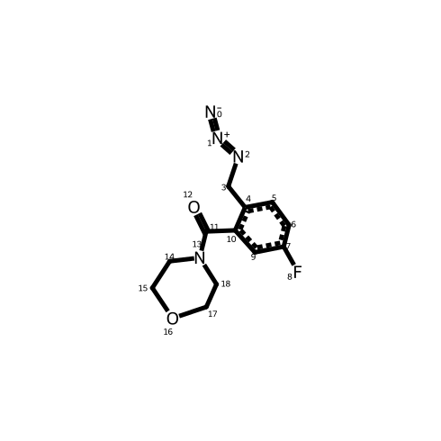 [N-]=[N+]=NCc1ccc(F)cc1C(=O)N1CCOCC1